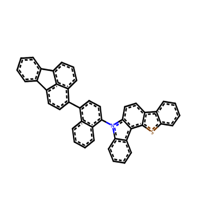 c1ccc2c(c1)-c1cccc3c(-c4ccc(-n5c6ccccc6c6c7sc8ccccc8c7ccc65)c5ccccc45)ccc-2c13